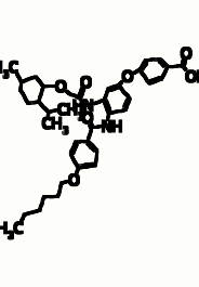 CCCCCCOc1ccc(C(=O)Nc2ccc(Oc3ccc(C(=O)O)cc3)cc2NC(=O)COC2CC(C)CCC2C(C)C)cc1